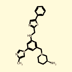 Cc1cn(-c2cc(CN3CCC[C@H](N)C3)cc(NCc3ncc(-c4ccccc4)s3)c2)cn1